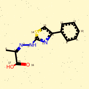 CC(=NNc1nc(-c2ccccc2)cs1)C(=O)O